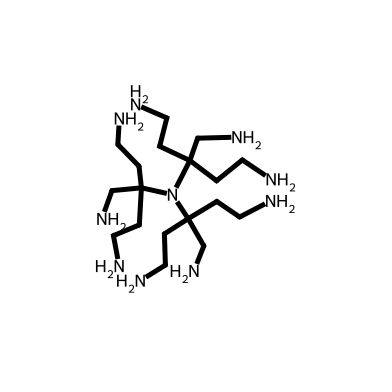 NCCC(CN)(CCN)N(C(CN)(CCN)CCN)C(CN)(CCN)CCN